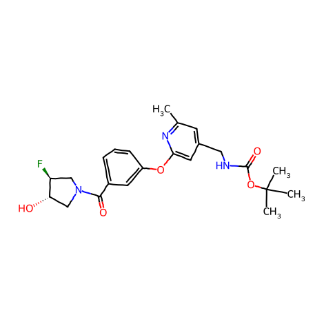 Cc1cc(CNC(=O)OC(C)(C)C)cc(Oc2cccc(C(=O)N3C[C@H](O)[C@@H](F)C3)c2)n1